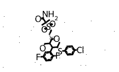 CC(C)(C(N)=O)S(=O)(=O)CC[C@@H]1OCC(Sc2ccc(Cl)cc2)C2c3c(F)ccc(F)c3OCC21